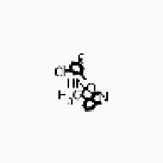 CC(C(=O)NCc1cc(Cl)cc(Cl)c1)c1cccc2cnccc12